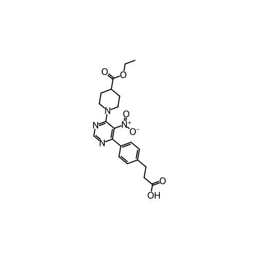 CCOC(=O)C1CCN(c2ncnc(-c3ccc(CCC(=O)O)cc3)c2[N+](=O)[O-])CC1